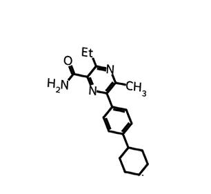 CCc1nc(C)c(-c2ccc(C3CC[CH]CC3)cc2)nc1C(N)=O